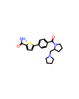 NC(=O)c1ccc(-c2ccc(C(=O)N3CCCC3CN3CCCC3)cc2)s1